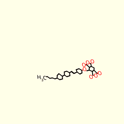 CCCCCC1CCC(C2CCC(/C=C/C3CCC(OCC4C5C(=O)OC(=O)C5CC5C(=O)OC(=O)C54)CC3)CC2)CC1